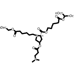 CCCCCCCCCCCOC(=O)CCCCCN1CC(OC(=O)CCN(C)C)C[C@H]1C(=O)OCCCCC(=O)OC(CCCCCCCC)CCCCCCCC